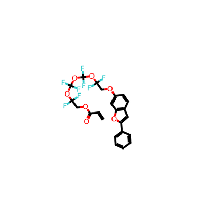 C=CC(=O)OCC(F)(F)OC(F)(F)OC(F)(F)OC(F)(F)COc1ccc2cc(-c3ccccc3)oc2c1